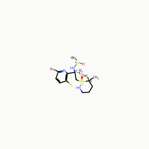 CC(C)(C)[S@@+]([O-])N[C@@](C)(C[SH]1(=O)NCCC[C@]1(C)C#N)c1nc(Br)ccc1F